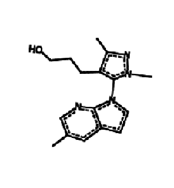 Cc1cnc2c(ccn2-c2c(CCCO)c(C)nn2C)c1